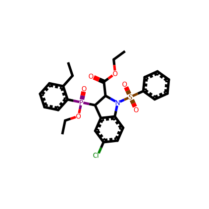 CCOC(=O)C1C(P(=O)(OCC)c2ccccc2CC)c2cc(Cl)ccc2N1S(=O)(=O)c1ccccc1